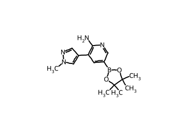 Cn1cc(-c2cc(B3OC(C)(C)C(C)(C)O3)cnc2N)cn1